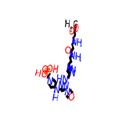 COC(=O)CCNCCC(=O)NCCCn1cc(CNc2nc(NC3CCN(CCP(=O)(O)O)CC3)cc(N3CCOCC3)n2)nn1